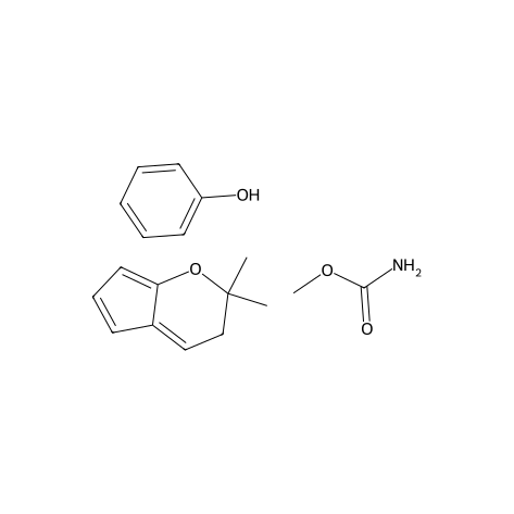 CC1(C)CC=C2C=CC=C2O1.COC(N)=O.Oc1ccccc1